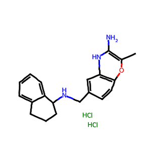 CC1=C(N)Nc2cc(CNC3CCCc4ccccc43)ccc2O1.Cl.Cl